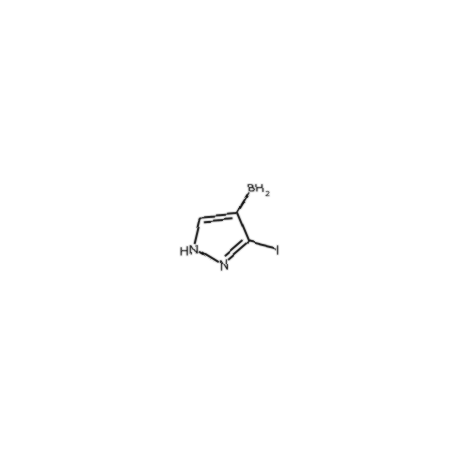 Bc1c[nH]nc1I